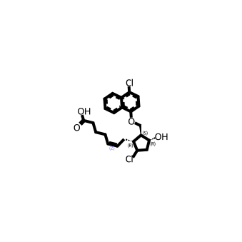 O=C(O)CCC/C=C\C[C@H]1C(Cl)C[C@@H](O)[C@@H]1COc1ccc(Cl)c2ccccc12